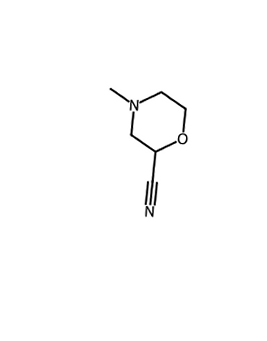 CN1CCOC(C#N)C1